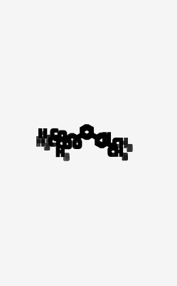 CC(C)c1ccc(-c2cccc(C(=O)CC(=O)OC(C)(C)C)c2)cn1